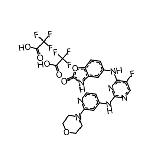 O=C(O)C(F)(F)F.O=C(O)C(F)(F)F.O=c1[nH]c2cc(Nc3nc(Nc4ccnc(N5CCOCC5)c4)ncc3F)ccc2o1